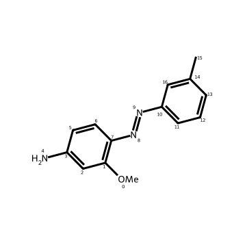 COc1cc(N)ccc1/N=N/c1cccc(C)c1